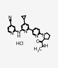 CNC(=O)C1CCCN1c1ccc(-c2cc(C3CC3)cc(Nc3cc(C#N)ccn3)n2)cn1.Cl